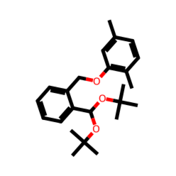 Cc1ccc(C)c(OCc2ccccc2C(OC(C)(C)C)OC(C)(C)C)c1